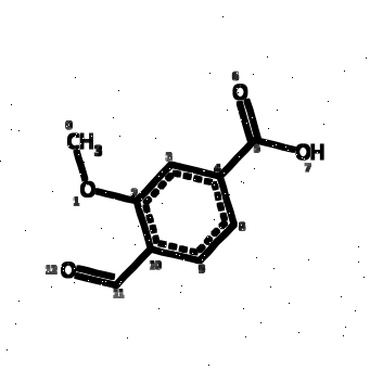 COc1cc(C(=O)O)ccc1C=O